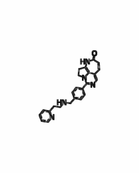 O=C1C=CC2=CN=C(c3ccc(CNCCc4ccccn4)cc3)N3CCC(=C23)N1